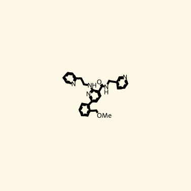 COCc1ccccc1-c1ccc(C(=O)NCc2cccnc2)c(NCCc2ccccn2)n1